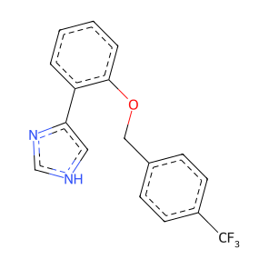 FC(F)(F)c1ccc(COc2ccccc2-c2c[nH]cn2)cc1